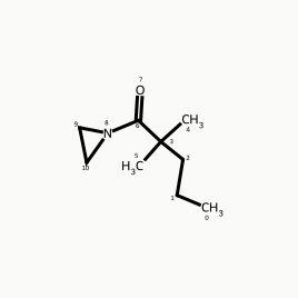 CCCC(C)(C)C(=O)N1CC1